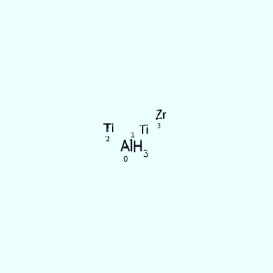 [AlH3].[Ti].[Ti].[Zr]